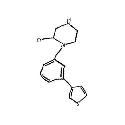 CCC1CNCCN1c1cccc(-c2ccsc2)c1